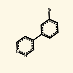 Brc1cccc(-c2ccnnc2)c1